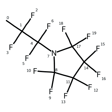 CC(F)(F)C(F)(F)N1C(F)(F)C(F)(F)C(F)(F)C1(F)F